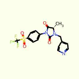 C[C@H]1C(=O)N(c2ccc(S(=O)(=O)C(F)(F)F)cc2)C(=O)N1Cc1ccncc1